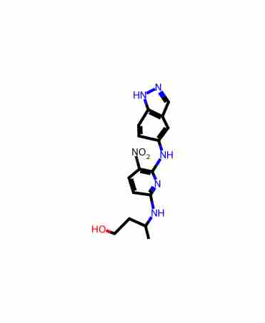 CC(CCO)Nc1ccc([N+](=O)[O-])c(Nc2ccc3[nH]ncc3c2)n1